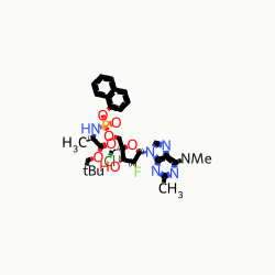 CNc1nc(C)nc2c1ncn2[C@@H]1O[C@](CCl)(COP(=O)(N[C@@H](C)C(=O)OCC(C)(C)C)Oc2cccc3ccccc23)[C@@H](O)[C@H]1F